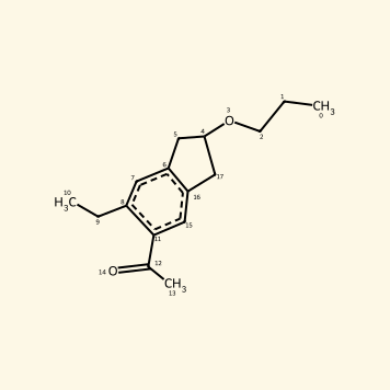 CCCOC1Cc2cc(CC)c(C(C)=O)cc2C1